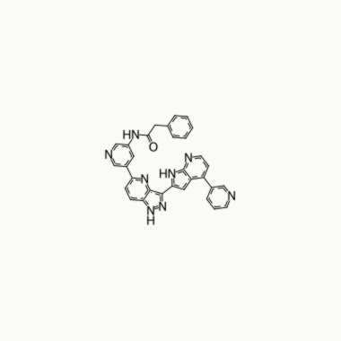 O=C(Cc1ccccc1)Nc1cncc(-c2ccc3[nH]nc(-c4cc5c(-c6cccnc6)ccnc5[nH]4)c3n2)c1